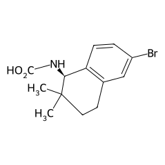 CC1(C)CCc2cc(Br)ccc2[C@@H]1NC(=O)O